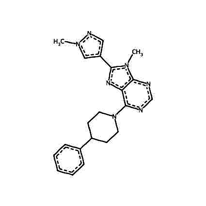 Cn1cc(-c2nc3c(N4CCC(c5ccccc5)CC4)ncnc3n2C)cn1